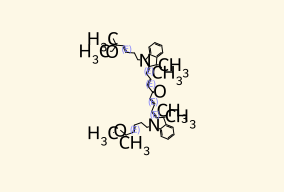 COC(C)/C=C/CCN1/C(=C/C=C/C(=O)/C=C/C=C2/N(CC/C=C/C(C)OC)c3ccccc3C2(C)C)C(C)(C)c2ccccc21